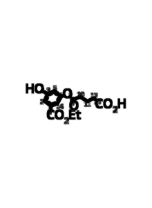 CCOC(=O)c1cc(O)cc(OC(=O)CCCC(=O)O)c1